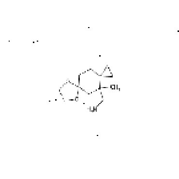 CC1(CN)CC2(CCC13CC3)OCCO2